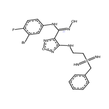 N=S(=N)(CCNc1nonc1/C(=N/O)Nc1ccc(F)c(Br)c1)Cc1ccccc1